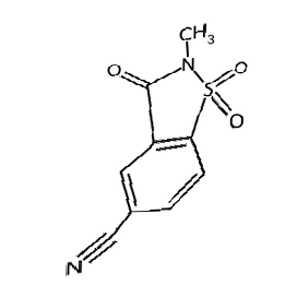 CN1C(=O)c2cc(C#N)ccc2S1(=O)=O